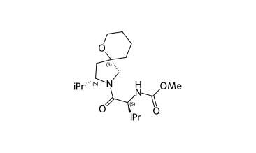 COC(=O)N[C@H](C(=O)N1C[C@]2(CCCCO2)C[C@H]1C(C)C)C(C)C